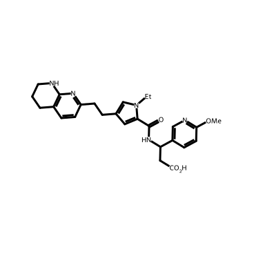 CCn1cc(CCc2ccc3c(n2)NCCC3)cc1C(=O)NC(CC(=O)O)c1ccc(OC)nc1